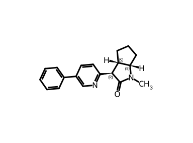 CN1C(=O)[C@@H](c2ccc(-c3ccccc3)cn2)[C@@H]2CCC[C@@H]21